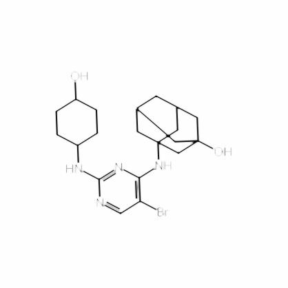 OC1CCC(Nc2ncc(Br)c(NC34CC5CC(CC(O)(C5)C3)C4)n2)CC1